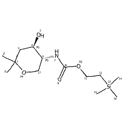 CC1(C)C[C@@H](O)[C@H](NC(=O)OCC[Si](C)(C)C)CO1